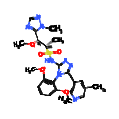 COc1cccc(OC)c1-n1c(NS(=O)(=O)[C@@H](C)[C@H](OC)c2ncnn2C)nnc1-c1cncc(C)c1